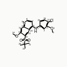 COc1cc(Nc2ccnc3cc(OC)c(S(=O)(=O)C(C)(C)C)cc23)ccc1Cl